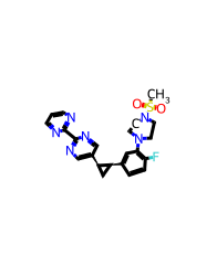 CS(=O)(=O)N1CCN(c2cc([C@H]3C[C@H]3c3cnc(-c4ncccn4)nc3)ccc2F)CC1